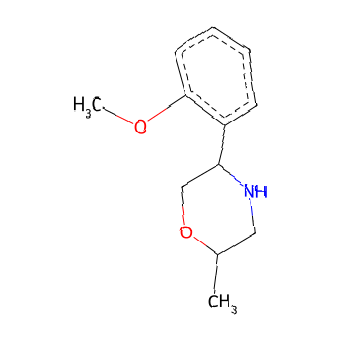 COc1ccccc1C1COC(C)CN1